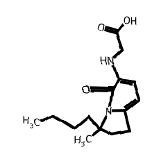 CCCCC1(C)CCc2ccc(NCC(=O)O)c(=O)n21